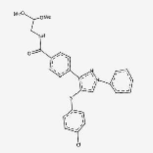 COC(CNC(=O)c1ccc(-c2nn(-c3ccccc3)cc2Sc2ccc(Cl)cc2)cc1)OC